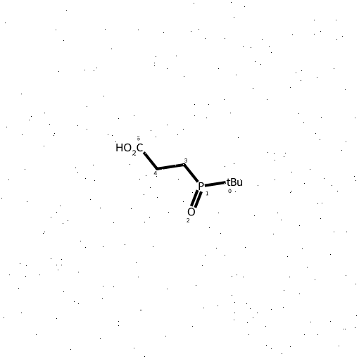 CC(C)(C)[P](=O)CCC(=O)O